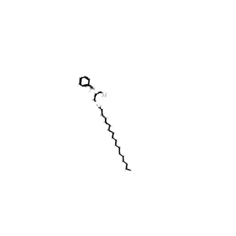 CCCCCCCCCCCCCCCCCCOCC(CBr)OCc1ccccc1